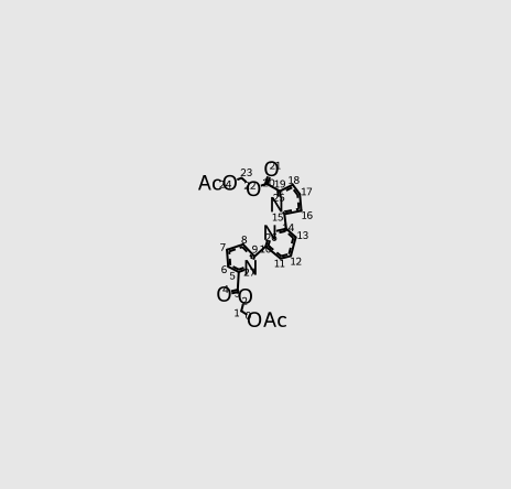 CC(=O)OCOC(=O)c1cccc(-c2cccc(-c3cccc(C(=O)OCOC(C)=O)n3)n2)n1